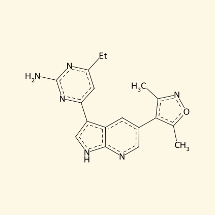 CCc1cc(-c2c[nH]c3ncc(-c4c(C)noc4C)cc23)nc(N)n1